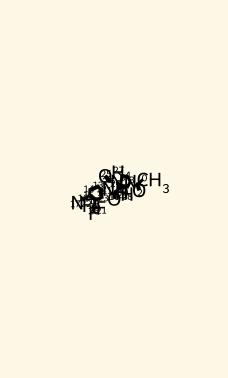 CC(=O)N1C[C@@H]2C[C@H]1[C@@H]1C(=O)N(c3ccc(C#N)c(C(F)(F)F)c3)C(=O)N21